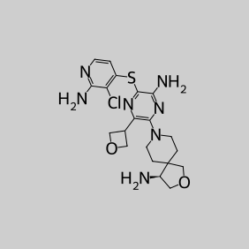 Nc1nc(N2CCC3(CC2)COC[C@H]3N)c(C2COC2)nc1Sc1ccnc(N)c1Cl